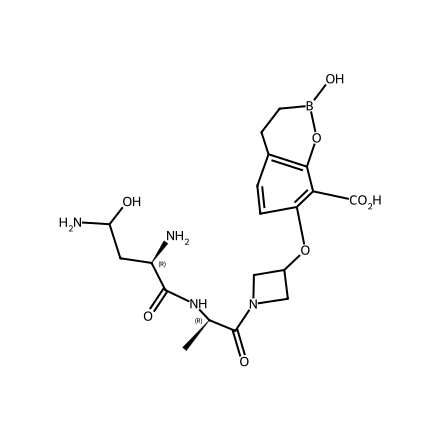 C[C@@H](NC(=O)[C@H](N)CC(N)O)C(=O)N1CC(Oc2ccc3c(c2C(=O)O)OB(O)CC3)C1